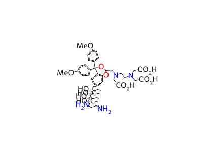 CC(=O)O.CC(=O)O.CC(=O)O.CC(=O)O.COc1ccc(C(OC(=O)CN(CCN(CC(=O)O)CC(=O)O)CC(=O)O)(c2ccccc2)c2ccc(OC)cc2)cc1.NCCN